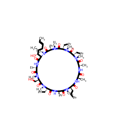 C/C=C/C[C@@H](C)[C@@H](O)[C@H]1C(=O)N[C@@H](CC)C(=O)N(C)[C@H](CO)C(=O)N(C)[C@@H](CC(C)C)C(=O)N[C@H](C(C)C)C(=O)N(C)[C@H](CCC(C)C)C(=O)N[C@H](C)C(=O)N[C@@H](C)C(=O)N(C)[C@@H](CC(C)C)C(=O)N(C)[C@@H](CC(C)C)C(=O)N(C)[C@@H](C(C)C)C(=O)N1C